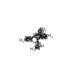 CC(CN(CCNC(=O)c1ccn(C)c(=O)c1O)CCNC(=O)c1ccn(C)c(=O)c1O)N(CCNC(=O)c1ccn(C)c(=O)c1O)CCNC(=O)c1ccn(C)c(=O)c1O